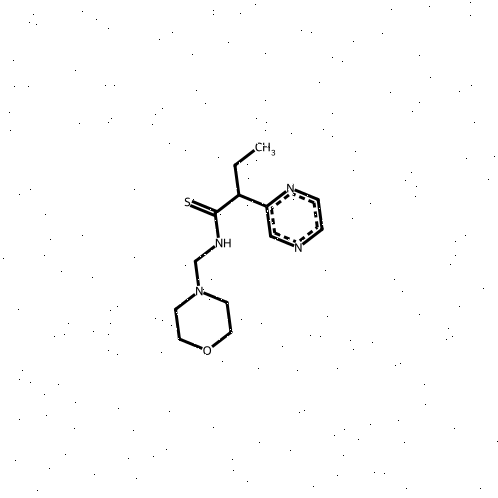 CCC(C(=S)NCN1CCOCC1)c1cnccn1